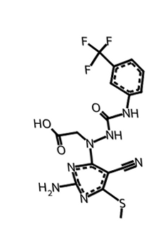 CSc1nc(N)nc(N(CC(=O)O)NC(=O)Nc2cccc(C(F)(F)F)c2)c1C#N